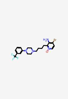 Nc1c(Br)cc[n+]([O-])c1CCCCN1CCN(c2cccc(C(F)(F)F)c2)CC1